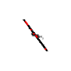 CCCCCCCCCCCCCCCCCCCCC(CCCCC(CCCCCCCCCCCCCCCCCCCC)C(N)=O)C(N)=O